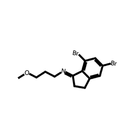 COCCCN=C1CCc2cc(Br)cc(Br)c21